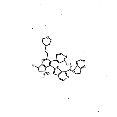 Cc1cc(-c2c(CCC3CCOCC3)nc3c(c2-c2cc4ccnc(N[C@@H]5CCc6ncccc65)c4s2)S(=O)(=O)CC3C(C)C)ccn1